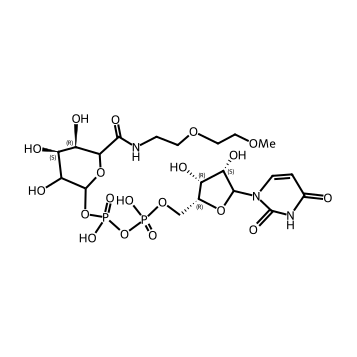 COCCOCCNC(=O)C1OC(OP(=O)(O)OP(=O)(O)OC[C@H]2OC(n3ccc(=O)[nH]c3=O)[C@@H](O)[C@H]2O)C(O)[C@@H](O)[C@H]1O